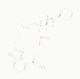 COC(=O)c1cccc2[nH]c(CCCN(C)CCC3(OC(=O)C(C)C)CC4CCC3C=C4c3ccccc3)nc12